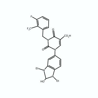 CCN1c2ccc(-n3cc(C(=O)O)c(=O)n(Cc4cccc(F)c4C(F)(F)F)c3=O)cc2N(CC)C1O